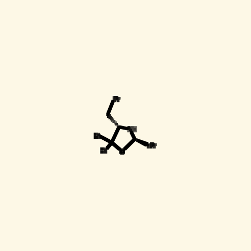 CCC[C@@H]1N[C@@H](CC(C)C)C(CC)(CC)O1